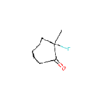 CC1(F)CCCC1=O